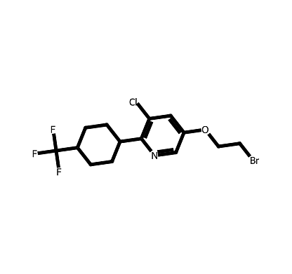 FC(F)(F)C1CCC(c2ncc(OCCBr)cc2Cl)CC1